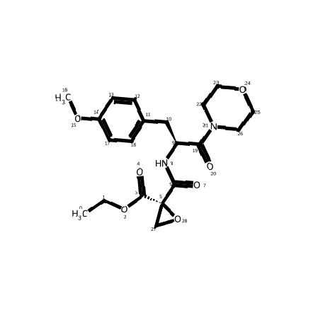 CCOC(=O)[C@@]1(C(=O)N[C@@H](Cc2ccc(OC)cc2)C(=O)N2CCOCC2)CO1